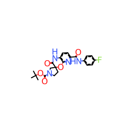 CC(C)(C)OC(=O)N1CCC2(C1)Oc1nc(C(=O)Nc3ccc(F)cc3)ccc1NC2=O